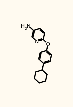 Nc1ccc(Oc2ccc(C3CCCCC3)cc2)nc1